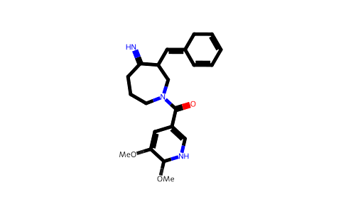 COC1=CC(C(=O)N2CCCC(=N)C(/C=C3\C=CC=CC3)C2)=CNC1OC